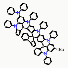 CC(C)(C)c1cc2c3c(c1)N(c1ccccc1)c1cc4c(cc1B3c1ccccc1N2c1ccccc1)C1(c2ccccc2-c2ccccc21)c1cc2c(cc1N4c1ccccc1)N(c1ccccc1)c1cc(N(c3ccccc3)c3ccccc3)cc3c1B2c1ccccc1N3c1ccccc1